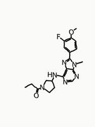 CCC(=O)N1CCC(Nc2ncnc3c2nc(-c2ccc(OC)c(F)c2)n3C)C1